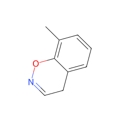 Cc1cccc2c1ON=CC2